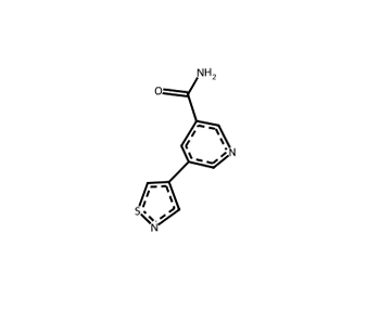 NC(=O)c1cncc(-c2cnsc2)c1